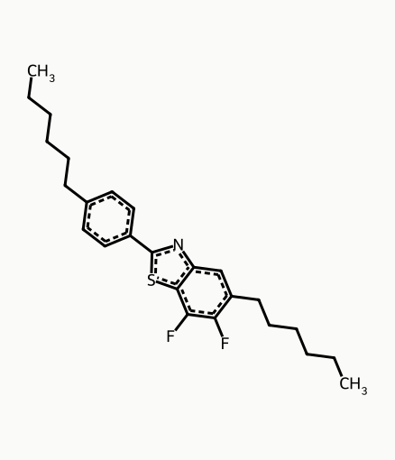 CCCCCCc1ccc(-c2nc3cc(CCCCCC)c(F)c(F)c3s2)cc1